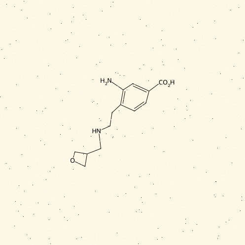 Nc1cc(C(=O)O)ccc1CCNCC1COC1